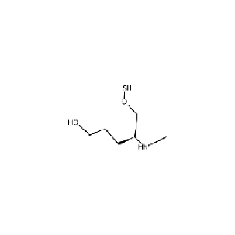 CN[C@@H](CCCO)COS